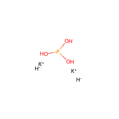 OP(O)O.[H-].[H-].[K+].[K+]